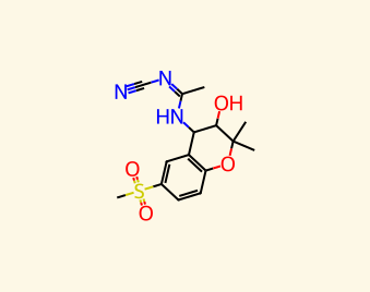 C/C(=N/C#N)NC1c2cc(S(C)(=O)=O)ccc2OC(C)(C)C1O